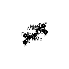 CNC(OC(=O)CCC(=O)OC(NC)c1cn(S(=O)(=O)c2cccc(F)c2)c(-c2ccc(F)cc2F)c1OC)c1cn(S(=O)(=O)c2cccc(F)c2)c(-c2ccc(F)cc2F)c1OC